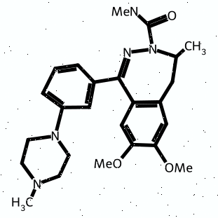 CNC(=O)N1N=C(c2cccc(N3CCN(C)CC3)c2)c2cc(OC)c(OC)cc2CC1C